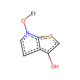 CCOn1ccc2c(O)csc21